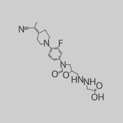 CC(C#N)=C1CCN(c2ccc(N3CC(CNNCC(=O)O)OC3=O)cc2F)CC1